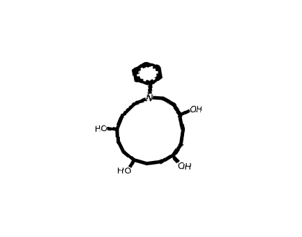 OC1CCC(O)CCC(O)CCN(c2ccccc2)CCC(O)CC1